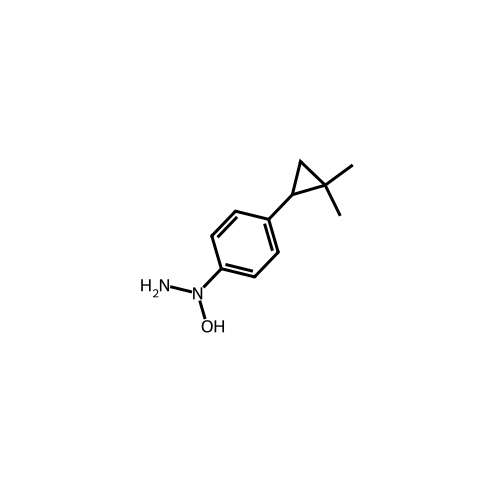 CC1(C)CC1c1ccc(N(N)O)cc1